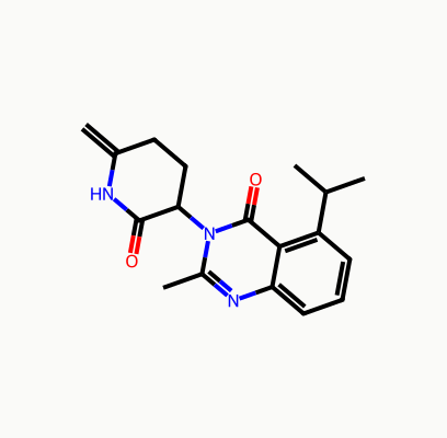 C=C1CCC(n2c(C)nc3cccc(C(C)C)c3c2=O)C(=O)N1